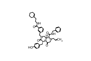 C=CCN1CC(=O)N2[C@@H](Cc3ccc(O)cc3)C(=O)N(Cc3cccc(C(=O)NCCC4=CCCCC4)c3)C[C@@H]2N1C(=O)NCc1ccccc1